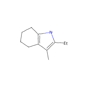 CCC1=C(C)C2=C(CCCC2)[N]1